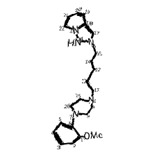 COc1ccccc1N1CCN(CCCCCN2C=C3C=CC=CN3N2)CC1